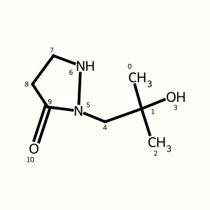 CC(C)(O)CN1NCCC1=O